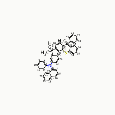 CC1(C)c2cc(N(c3ccccc3)c3cccc4ccccc34)ccc2-c2c1ccc1c2Sc2ccccc2C1(C)c1ccccc1